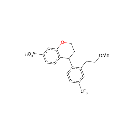 COCCc1cc(C(F)(F)F)ccc1C1CCOc2cc(S(=O)(=O)O)ccc21